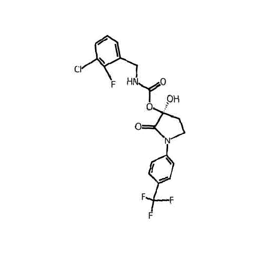 O=C(NCc1cccc(Cl)c1F)O[C@@]1(O)CCN(c2ccc(C(F)(F)F)cc2)C1=O